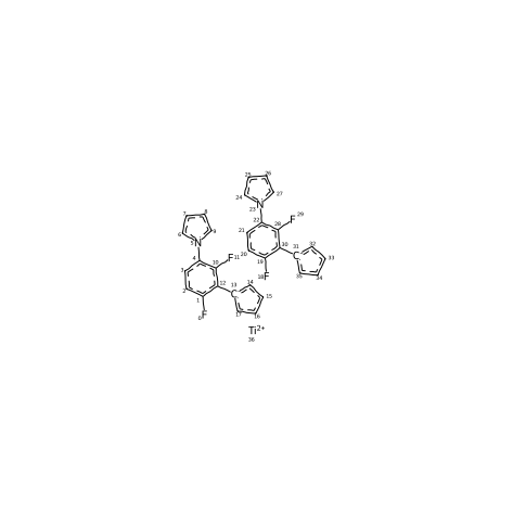 Fc1ccc(-n2cccc2)c(F)c1-[c-]1cccc1.Fc1ccc(-n2cccc2)c(F)c1-[c-]1cccc1.[Ti+2]